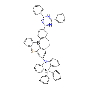 c1ccc(-c2nc(-c3ccccc3)nc(-c3ccc4c(c3)CCc3cc(N5c6ccccc6[Si](c6ccccc6)(c6ccccc6)c6ccccc65)cc5c3B4c3ccccc3S5)n2)cc1